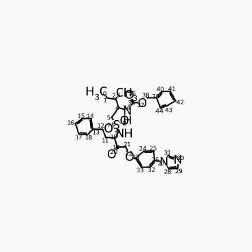 CCC(C)C(CS(=O)(=O)NC(CCc1ccccc1)C(=O)COc1ccc(-n2ccnc2)cc1)NC(=O)OCc1ccccc1